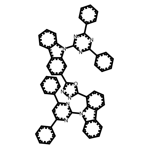 c1ccc(-c2cc(-c3ccccc3)nc(-n3c4ccccc4c4cccc(-c5nnc(-c6ccc7c8ccccc8n(-c8nc(-c9ccccc9)nc(-c9ccccc9)n8)c7c6)o5)c43)n2)cc1